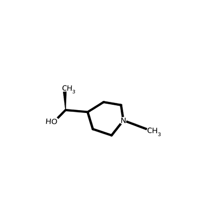 C[C@H](O)C1CCN(C)CC1